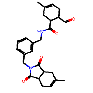 CC1=CCC(C=O)C(C(=O)NCc2cccc(CN3C(=O)C4CC=C(C)CC4C3=O)c2)C1